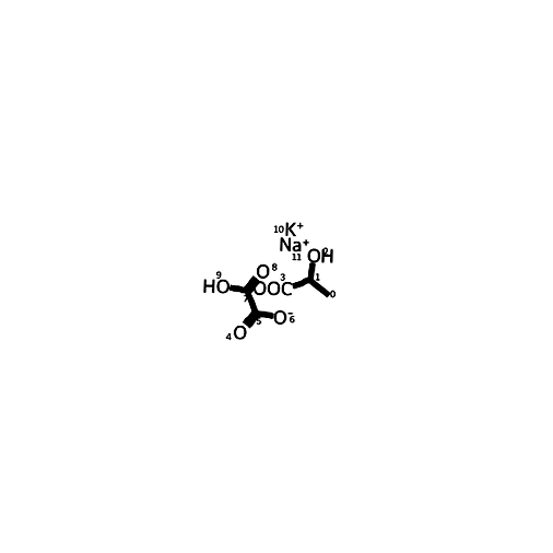 CC(O)C(=O)[O-].O=C([O-])C(=O)O.[K+].[Na+]